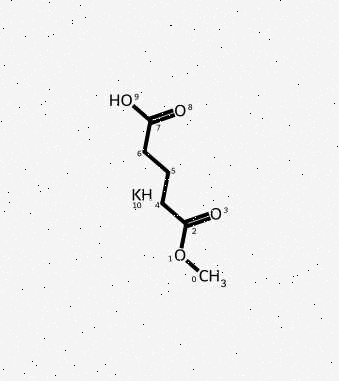 COC(=O)CCCC(=O)O.[KH]